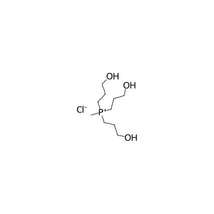 C[P+](CCCO)(CCCO)CCCO.[Cl-]